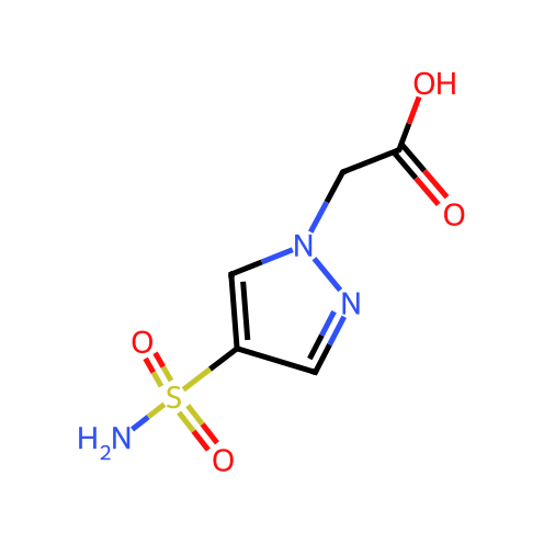 NS(=O)(=O)c1cnn(CC(=O)O)c1